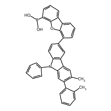 Cc1ccccc1-c1cc2c(cc1C)c1cc(-c3cccc4c3oc3c(B(O)O)cccc34)ccc1n2-c1ccccc1